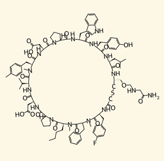 CCCC[C@H]1C(=O)N2CCC[C@@H]2C(=O)N[C@@H](CC(=O)O)C(=O)N[C@@H](C(C)C)C(=O)N(C)[C@@H](Cc2ccc(C)cc2)C(=O)N[C@@H](CC(=O)O)C(=O)N2CCC[C@@H]2C(=O)N[C@@H](Cc2c[nH]c3ccccc23)C(=O)N[C@@H](Cc2ccc(O)cc2)C(=O)N[C@@H](CC(C)C)C(=O)N[C@H](COCNCC(N)=O)CSCC(=O)N[C@@H](Cc2ccc(F)cc2)C(=O)N(C)C(Cc2ccccc2)C(=O)N1C